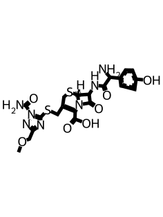 COCc1nc(SCC2=C(C(=O)O)N3C(=O)C(NC(=O)C(N)c4ccc(O)cc4)[C@H]3SC2)n(C(N)=O)n1